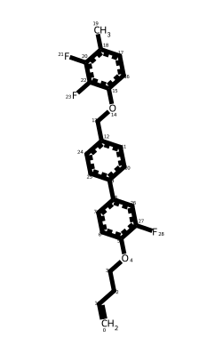 C=CCCOc1ccc(-c2ccc(COc3ccc(C)c(F)c3F)cc2)cc1F